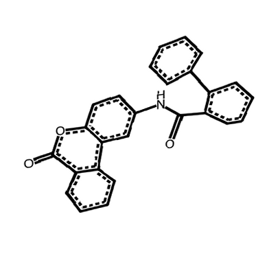 O=C(Nc1ccc2oc(=O)c3ccccc3c2c1)c1ccccc1-c1ccccc1